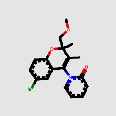 COCC1(C)Oc2ccc(Br)cc2C(n2ccccc2=O)=C1C